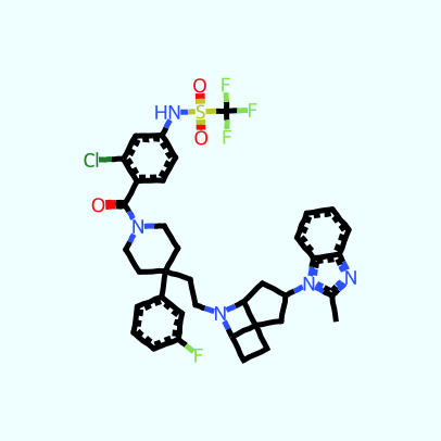 Cc1nc2ccccc2n1C1CC2N(CCC3(c4cccc(F)c4)CCN(C(=O)c4ccc(NS(=O)(=O)C(F)(F)F)cc4Cl)CC3)C3CCC32C1